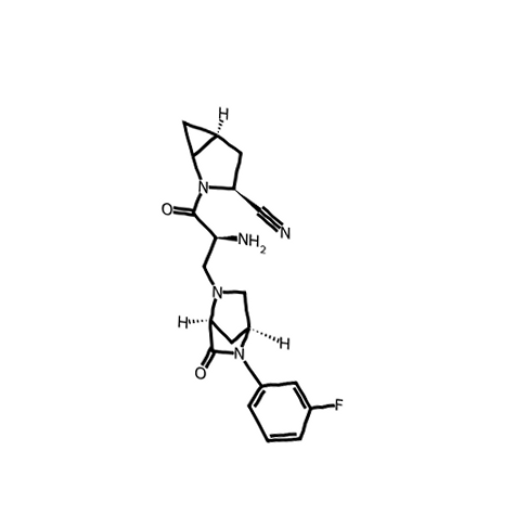 N#C[C@@H]1C[C@@H]2CC2N1C(=O)[C@@H](N)CN1C[C@@H]2C[C@H]1C(=O)N2c1cccc(F)c1